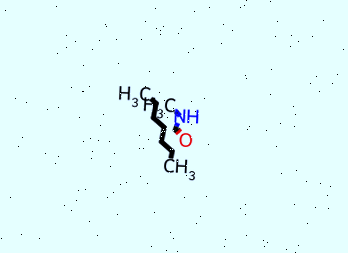 CCCCCCC.CNC=O